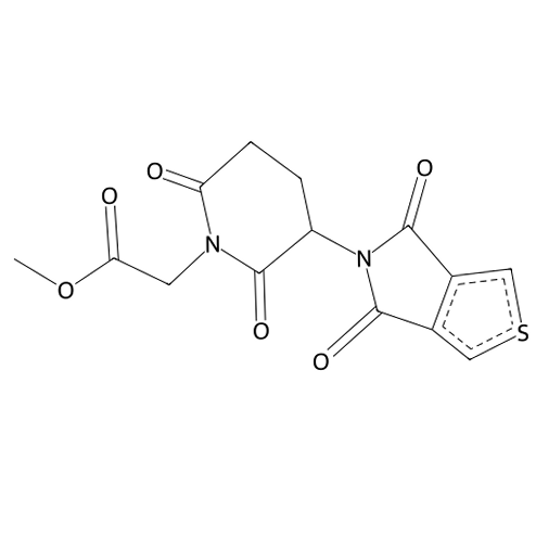 COC(=O)CN1C(=O)CCC(N2C(=O)c3cscc3C2=O)C1=O